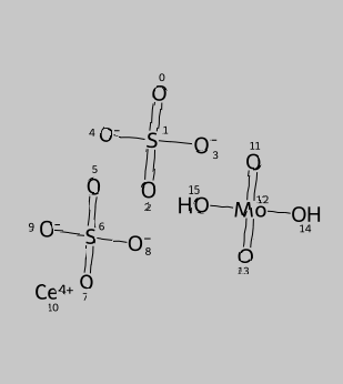 O=S(=O)([O-])[O-].O=S(=O)([O-])[O-].[Ce+4].[O]=[Mo](=[O])([OH])[OH]